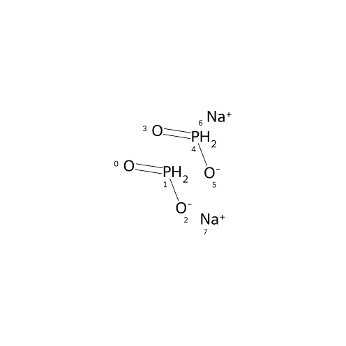 O=[PH2][O-].O=[PH2][O-].[Na+].[Na+]